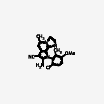 COc1ccc(Cl)c(-n2c(N)c(C#N)c3cc(C)n4ccnc4c32)c1C